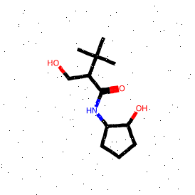 CC(C)(C)C(CO)C(=O)NC1CCCC1O